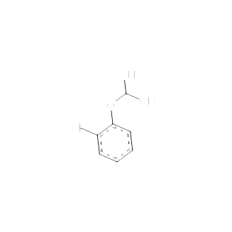 CC(C)Oc1c[c]ccc1Cl